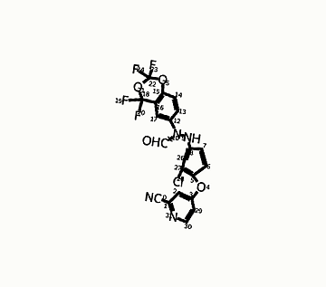 N#Cc1cc(Oc2ccc(NN(C=O)c3ccc4c(c3)C(F)(F)OC(F)(F)O4)cc2Cl)ccn1